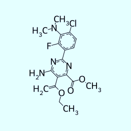 C=C(OCC)c1c(N)nc(-c2ccc(Cl)c(N(C)C)c2F)nc1C(=O)OC